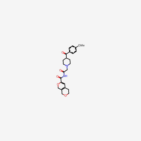 COc1ccc(C(=O)C2CCN(CC(=O)NC(=O)C3=CC4=C(COCC4)CO3)CC2)cc1